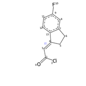 O=C(Cl)/C=C1\CCc2cc(F)ccc21